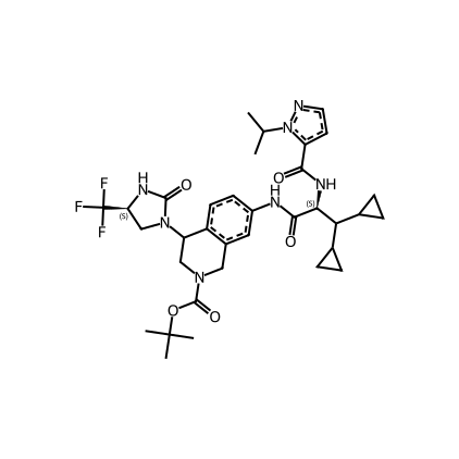 CC(C)n1nccc1C(=O)N[C@H](C(=O)Nc1ccc2c(c1)CN(C(=O)OC(C)(C)C)CC2N1C[C@@H](C(F)(F)F)NC1=O)C(C1CC1)C1CC1